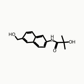 CC(C)(O)C(=O)Nc1ccc2cc(CO)ccc2c1